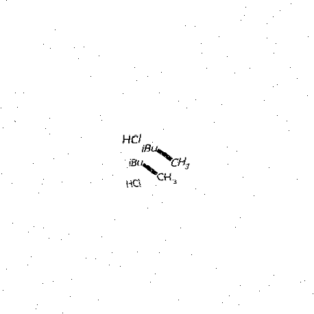 CCC(C)C.CCC(C)C.Cl.Cl